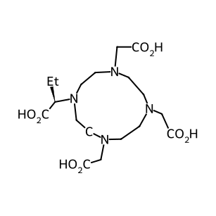 CC[C@H](C(=O)O)N1CCN(CC(=O)O)CCN(CC(=O)O)CCN(CC(=O)O)CC1